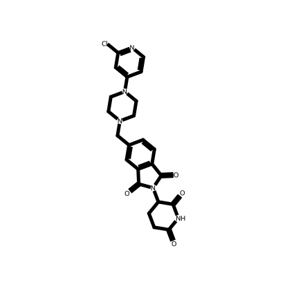 O=C1CCC(N2C(=O)c3ccc(CN4CCN(c5ccnc(Cl)c5)CC4)cc3C2=O)C(=O)N1